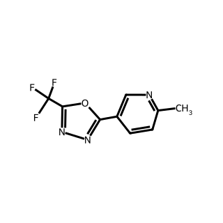 Cc1ccc(-c2nnc(C(F)(F)F)o2)cn1